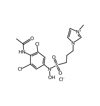 CC(=O)Nc1c(Cl)cc(N(O)S(=O)(=O)CCCn2cc[n+](C)c2)cc1Cl.[Cl-]